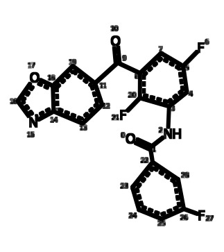 O=C(Nc1cc(F)cc(C(=O)c2ccc3ncoc3c2)c1F)c1cccc(F)c1